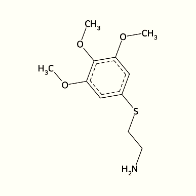 COc1cc(SCCN)cc(OC)c1OC